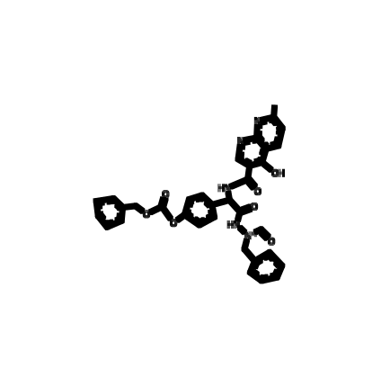 Cc1ccc2c(O)c(C(=O)NC(C(=O)N[N+](C=O)Cc3ccccc3)c3ccc(OC(=O)OCc4ccccc4)cc3)cnc2n1